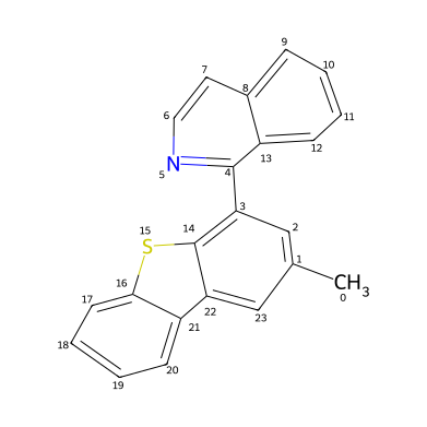 Cc1cc(-c2nccc3ccccc23)c2sc3ccccc3c2c1